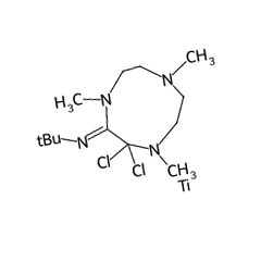 CN1CCN(C)C(=NC(C)(C)C)C(Cl)(Cl)N(C)CC1.[Ti]